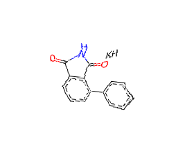 O=C1NC(=O)c2c1cccc2-c1ccccc1.[KH]